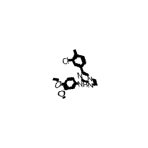 CCOc1ccc(Nc2nc(-c3ccc(C)c(Cl)c3)cn3ccnc23)cc1OC